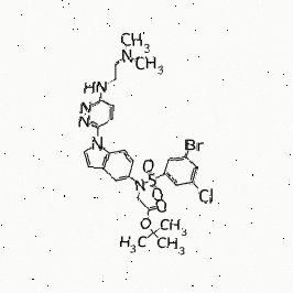 CN(C)CCNc1ccc(-n2ccc3cc(N(CC(=O)OC(C)(C)C)S(=O)(=O)c4cc(Cl)cc(Br)c4)ccc32)nn1